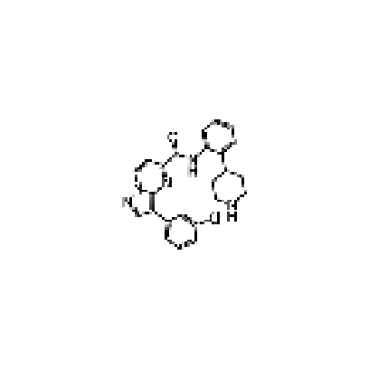 O=C(Nc1ccccc1C1CCNCC1)c1ccn2ncc(-c3cccc(Cl)c3)c2n1